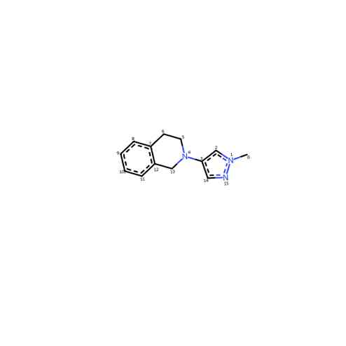 Cn1cc(N2CCc3cc[c]cc3C2)cn1